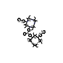 CCC1=C(C)/C2=C(\c3ccc(-c4ccccn4)nc3)C3=C(C)C(CC)C(N3)/C(c3ccc(N(c4ccccc4)c4ccc(-c5c6nc(c(-c7ccc(-c8ccccn8)nc7)c7[nH]c(cc8nc(cc9[nH]c5c(CC)c9C)C(C)=C8CC)c(CC)c7C)C(C)=C6CC)cc4)cc3)=C3N=C(/C=c4\[nH]/c(c(CC)c4C)=C\C1=N2)C(C)=C\3CC